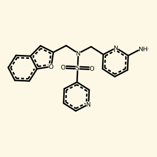 [NH]c1cccc(CN(Cc2cc3ccccc3o2)S(=O)(=O)c2cccnc2)n1